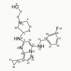 OCCN1CCCC(Nc2cc(NCc3cccc(F)c3)n3ncc(C4CC4)c3n2)C1